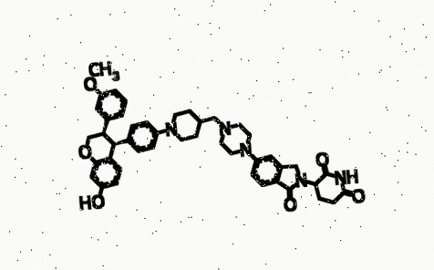 COc1cccc([C@@H]2COc3cc(O)ccc3[C@@H]2c2ccc(N3CCC(CN4CCN(c5ccc6c(c5)CN(C5CCC(=O)NC5=O)C6=O)CC4)CC3)cc2)c1